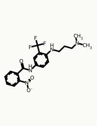 CN(C)CCCNc1ccc(NC(=O)c2ccccc2[N+](=O)[O-])cc1C(F)(F)F